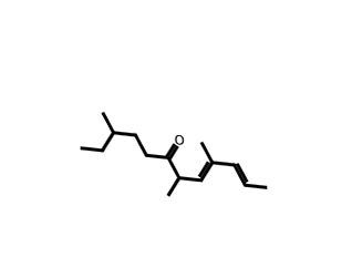 CC=CC(C)=CC(C)C(=O)CCC(C)CC